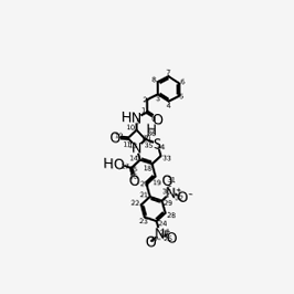 O=C(Cc1ccccc1)NC1C(=O)N2C(C(=O)O)=C(C=Cc3ccc([N+](=O)[O-])cc3[N+](=O)[O-])CS[C@H]12